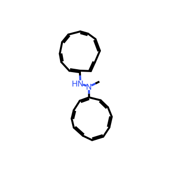 CN(NC1=C/C=C\C=C/C=C\C=C/C=C\1)C1=C/C=C\C=C/C=C\C=C/C=C\1